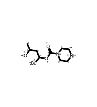 CC(O)CC(OC(=O)N1CCNCC1)C(C)(C)C